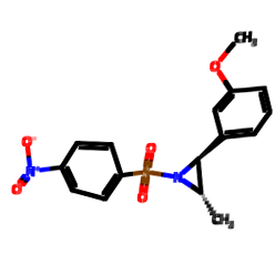 COc1cccc([C@H]2[C@H](C)N2S(=O)(=O)c2ccc([N+](=O)[O-])cc2)c1